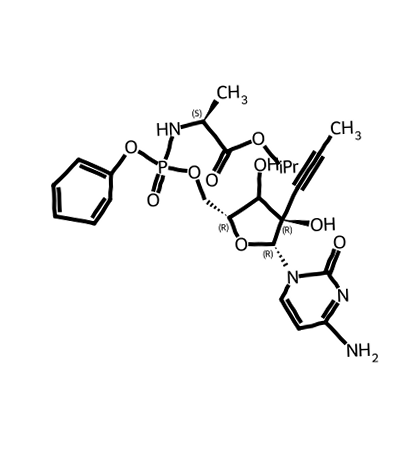 CC#C[C@@]1(O)C(O)[C@@H](COP(=O)(N[C@@H](C)C(=O)OC(C)C)Oc2ccccc2)O[C@H]1n1ccc(N)nc1=O